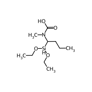 CCCC(N(C)C(=O)O)[SiH](OCC)OCC